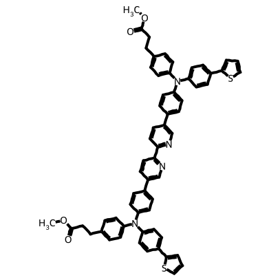 COC(=O)CCc1ccc(N(c2ccc(-c3ccc(-c4ccc(-c5ccc(N(c6ccc(CCC(=O)OC)cc6)c6ccc(-c7cccs7)cc6)cc5)cn4)nc3)cc2)c2ccc(-c3cccs3)cc2)cc1